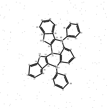 c1ccc(N2c3cccc4c3B(c3sc5ccccc5c32)c2sc3ccccc3c2N4c2ccccc2)cc1